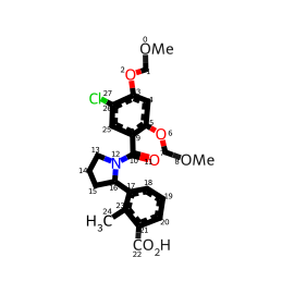 COCOc1cc(OCOC)c(C(=O)N2CCCC2c2cccc(C(=O)O)c2C)cc1Cl